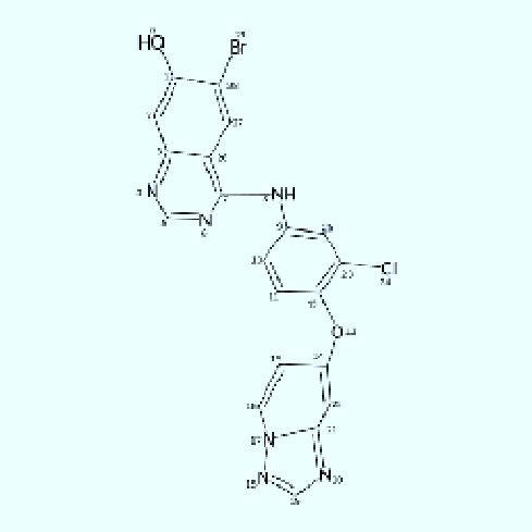 Oc1cc2ncnc(Nc3ccc(Oc4ccn5ncnc5c4)c(Cl)c3)c2cc1Br